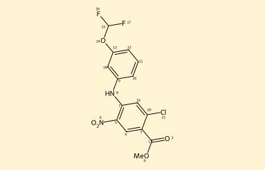 COC(=O)c1cc([N+](=O)[O-])c(Nc2cccc(OC(F)F)c2)cc1Cl